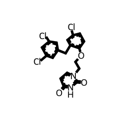 O=c1ccn(CCOc2ccc(Cl)cc2Cc2cc(Cl)cc(Cl)c2)c(=O)[nH]1